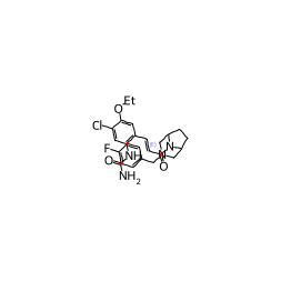 CCOc1cc(/C=C/C(=O)N2C3CCC2CN(Cc2ccc(F)cc2)C3)c(NC(N)=O)cc1Cl